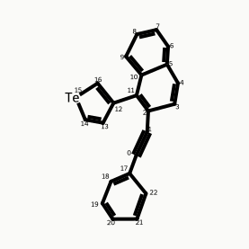 C(#Cc1ccc2ccccc2c1-c1cc[te]c1)c1ccccc1